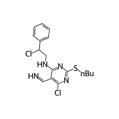 CCCCSc1nc(Cl)c(C=N)c(NCC(Cl)c2ccccc2)n1